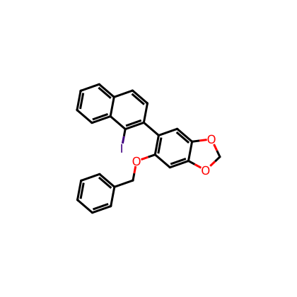 Ic1c(-c2cc3c(cc2OCc2ccccc2)OCO3)ccc2ccccc12